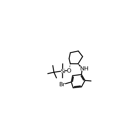 Cc1ccc(Br)cc1N[C@@H]1CCCC[C@H]1O[Si](C)(C)C(C)(C)C